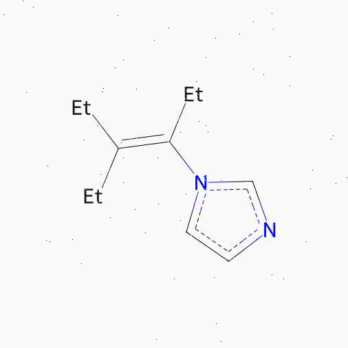 CCC(CC)=C(CC)n1ccnc1